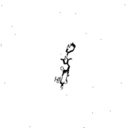 Cc1cc(/C=C2/SC(=S)NC2=O)c(C)n1-c1cccnc1